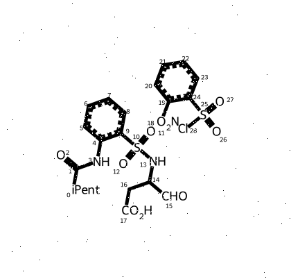 CCCC(C)C(=O)Nc1ccccc1S(=O)(=O)NC(C=O)CC(=O)O.O=[N+]([O-])c1ccccc1S(=O)(=O)Cl